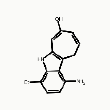 CCc1ccc(N)c2c3c([nH]c12)C=C(O)C=CC3